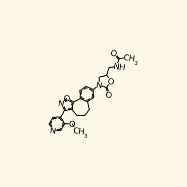 COc1cnccc1-c1noc2c1CCCc1cc(N3CC(CNC(C)=O)OC3=O)ccc1-2